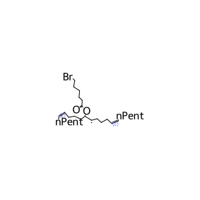 CCCCC/C=C\CCC[CH]C(CCC/C=C\CCCCC)OC(=O)CCCCCBr